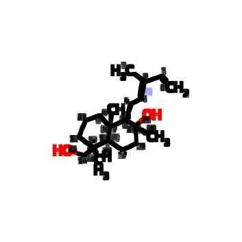 C=C/C(C)=C/C[C@@H]1[C@@]2(C)CCC[C@@](C)(CO)[C@@H]2CC[C@@]1(C)O